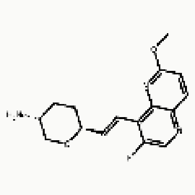 COc1ccc2ncc(F)c(/C=C/[C@@H]3CC[C@@H](N)CO3)c2n1